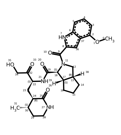 COc1cccc2[nH]c(C(=O)N3C[C@@H]4CCC[C@@H]4[C@H]3C(=O)N[C@@H](C[C@H]3C(=O)NCC[C@@H]3C)C(=O)CO)cc12